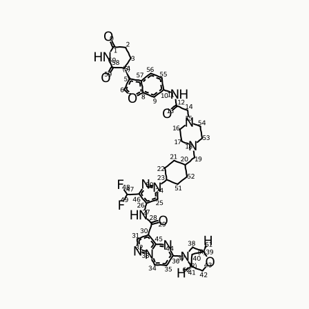 O=C1CC[C@@H](c2coc3cc(NC(=O)CN4CCN(CC5CCC(n6cc(NC(=O)c7cnn8ccc(N9C[C@H]%10C[C@@H]9CO%10)nc78)c(C(F)F)n6)CC5)CC4)ccc23)C(=O)N1